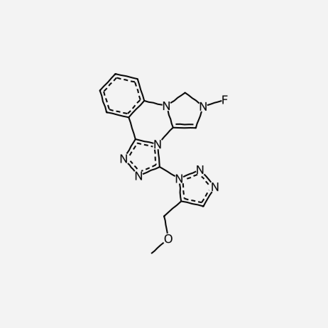 COCc1cnnn1-c1nnc2n1C1=CN(F)CN1c1ccccc1-2